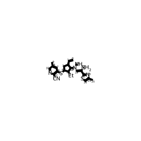 C=CC1CC(Sc2cc(C)cnc2C#N)C(CC)C1N(N)/C=C(\N)c1nc(C)cs1